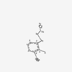 Cc1c(Br)cccc1CCCCl